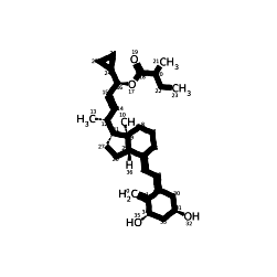 C=C1/C(=C\C=C2/CCC[C@]3(C)[C@@H]([C@H](C)/C=C/[C@H](OC(=O)C(C)CC)C4CC4)CC[C@@H]23)C[C@@H](O)C[C@@H]1O